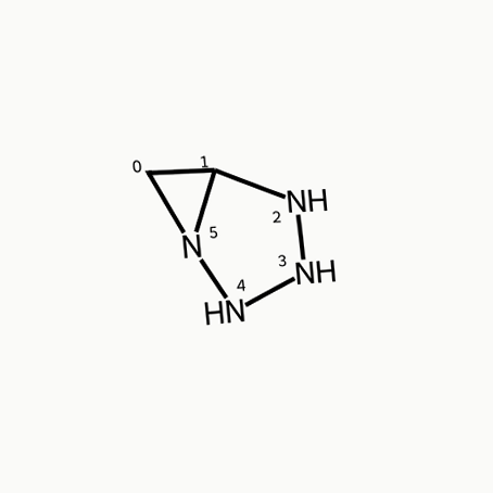 C1C2NNNN12